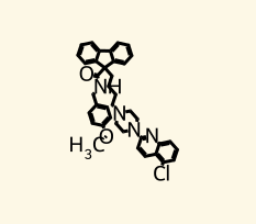 COc1ccc(CNC(=O)C2(CCCCN3CCN(c4ccc5c(Cl)cccc5n4)CC3)c3ccccc3-c3ccccc32)cc1